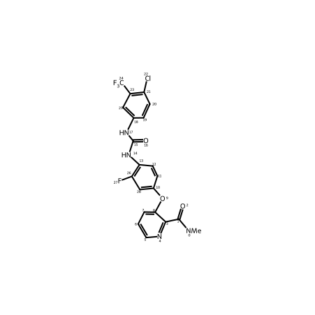 CNC(=O)c1ncccc1Oc1ccc(NC(=O)Nc2ccc(Cl)c(C(F)(F)F)c2)c(F)c1